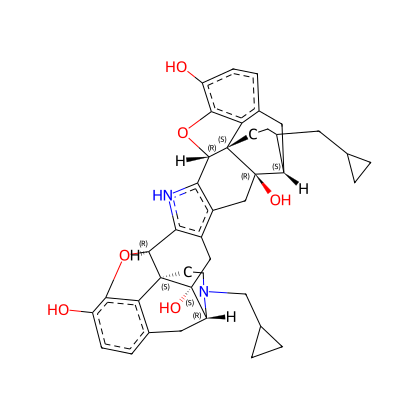 Oc1ccc2c3c1O[C@H]1c4[nH]c5c(c4C[C@@]4(O)[C@@H](C2)C(CC2CC2)CC[C@]314)C[C@@]1(O)[C@H]2Cc3ccc(O)c4c3[C@@]1(CCN2CC1CC1)[C@H]5O4